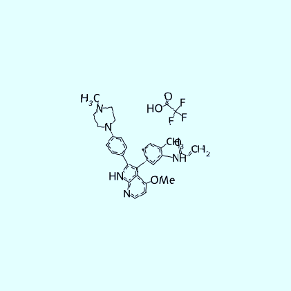 C=CC(=O)Nc1cc(-c2c(-c3ccc(N4CCN(C)CC4)cc3)[nH]c3nccc(OC)c23)ccc1C.O=C(O)C(F)(F)F